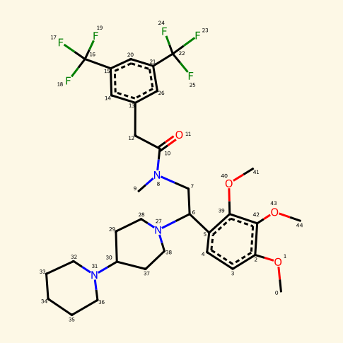 COc1ccc(C(CN(C)C(=O)Cc2cc(C(F)(F)F)cc(C(F)(F)F)c2)N2CCC(N3CCCCC3)CC2)c(OC)c1OC